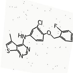 Cc1csc2ncnc(Nc3ccc(OCc4ccccc4F)c(Cl)c3)c12